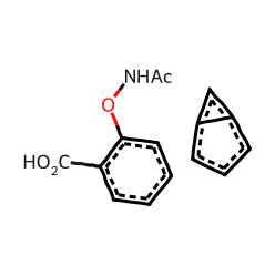 CC(=O)NOc1ccccc1C(=O)O.c1cc2cc-2c1